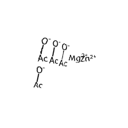 CC(=O)[O-].CC(=O)[O-].CC(=O)[O-].CC(=O)[O-].[Mg+2].[Zn+2]